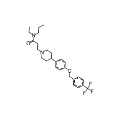 CCCN(CC)C(=O)CCN1CCC(c2ccc(OCc3ccc(C(F)(F)F)cc3)cc2)CC1